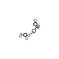 COc1cc(C(C)=O)ccc1OCCN1CCC(c2noc3cc(Cl)ccc23)CC1